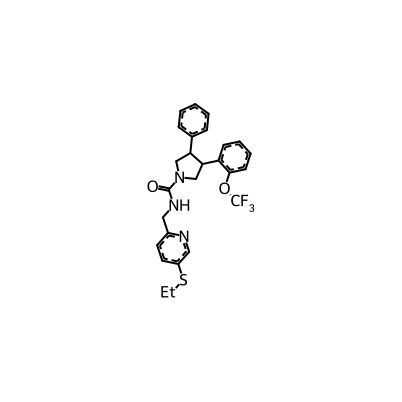 CCSc1ccc(CNC(=O)N2CC(c3ccccc3)C(c3ccccc3OC(F)(F)F)C2)nc1